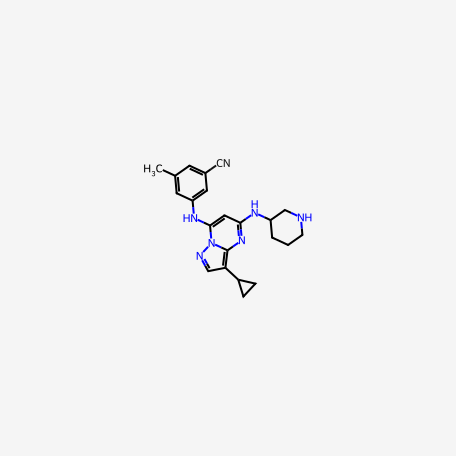 Cc1cc(C#N)cc(Nc2cc(NC3CCCNC3)nc3c(C4CC4)cnn23)c1